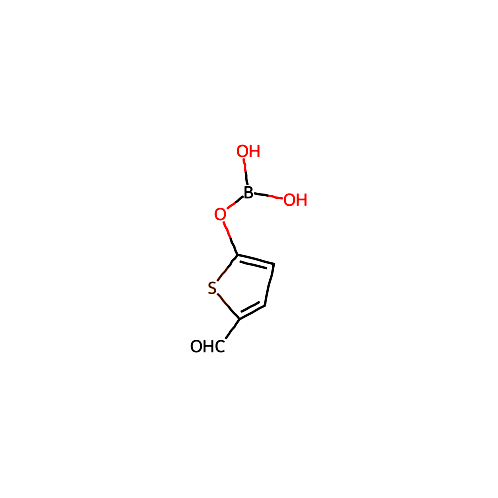 O=Cc1ccc(OB(O)O)s1